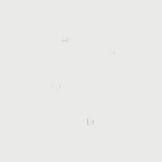 O=C(O)C(O)CBr